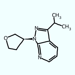 CC(C)c1nn([C@H]2CCOC2)c2ncccc12